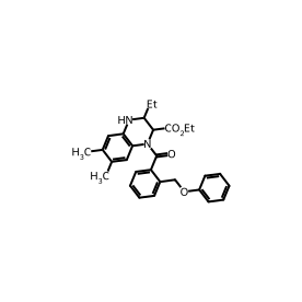 CCOC(=O)C1C(CC)Nc2cc(C)c(C)cc2N1C(=O)c1ccccc1COc1ccccc1